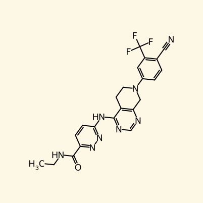 CCNC(=O)c1ccc(Nc2ncnc3c2CCN(c2ccc(C#N)c(C(F)(F)F)c2)C3)nn1